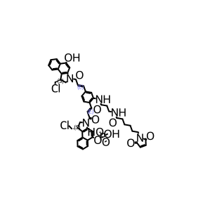 O=C(CCCCCN1C(=O)C=CC1=O)NCCC(=O)Nc1cc(/C=C/C(=O)N2C[C@@H](CCl)c3c2cc(O)c2ccccc32)ccc1/C=C/C(=O)N1C[C@@H](CCl)c2c1cc(OP(=O)(O)O)c1ccccc21